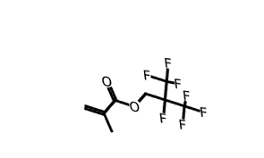 C=C(C)C(=O)OCC(F)(C(F)(F)F)C(F)(F)F